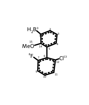 Bc1cccc(-c2c(F)cccc2Cl)c1OC